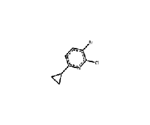 Clc1nc(C2CC2)ccc1Br